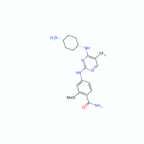 COc1cc(Nc2ncc(C(F)(F)F)c(N[C@H]3CC[C@@H](N)CC3)n2)ccc1C(N)=O